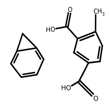 Cc1ccc(C(=O)O)cc1C(=O)O.c1ccc2c(c1)C2